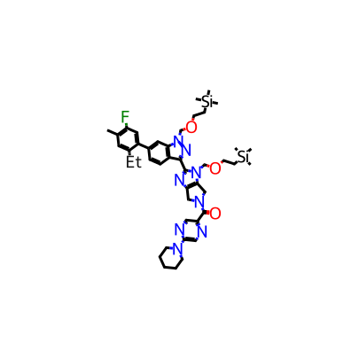 CCc1cc(C)c(F)cc1-c1ccc2c(-c3nc4c(n3COCC[Si](C)(C)C)CN(C(=O)c3cnc(N5CCCCC5)cn3)C4)nn(COCC[Si](C)(C)C)c2c1